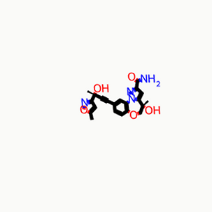 Cc1cc([C@](C)(O)C#Cc2ccc3c(c2)-n2nc(C(N)=O)cc2[C@](C)(O)CO3)no1